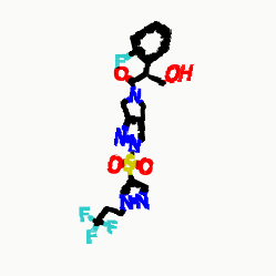 O=C([C@H](CO)c1ccccc1F)N1Cc2cn(S(=O)(=O)c3cnn(CCC(F)(F)F)c3)nc2C1